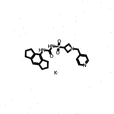 O=C(Nc1c2c(cc3c1CCC3)CCC2)NS(=O)(=O)C1CN(Cc2ccncc2)C1.[K]